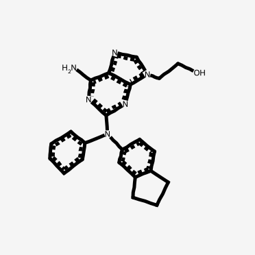 Nc1nc(N(c2ccccc2)c2ccc3c(c2)CCC3)nc2c1ncn2CCO